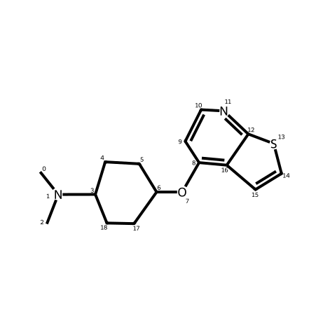 CN(C)C1CCC(Oc2ccnc3sccc23)CC1